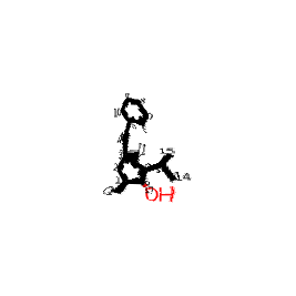 Cc1cc(Cc2ccccc2)cc(C(C)C)c1O